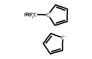 O=C(O)[c-]1cccc1.[Fe+2].c1cc[cH-]c1